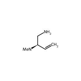 C=C[C@H](CN)NC